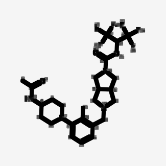 CC(=O)NC1CCN(c2cccc(CN3CC4CN(C(=O)OC(C(F)(F)F)C(F)(F)F)CC4C3)c2C)CC1